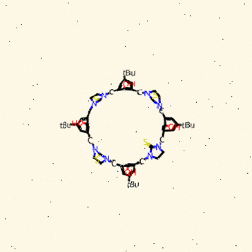 CC(C)(C)c1cc2c(O)c(c1)CN1CCN(Cc3cc(C(C)(C)C)cc(c3O)CN3CCN(Cc4cc(C(C)(C)C)cc(c4O)CN4CCN(Cc5cc(C(C)(C)C)cc(c5O)CN5CCN(C2)C5=S)C4=S)C3=S)C1=S